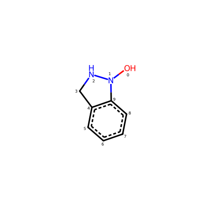 ON1NCc2ccccc21